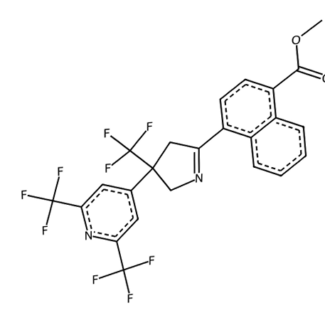 COC(=O)c1ccc(C2=NCC(c3cc(C(F)(F)F)nc(C(F)(F)F)c3)(C(F)(F)F)C2)c2ccccc12